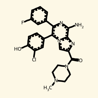 CN1CCN(C(=O)c2cn3c(-c4ccc(O)c(Cl)c4)c(-c4cccc(F)c4)nc(N)c3n2)CC1